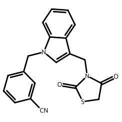 N#Cc1cccc(Cn2cc(CN3C(=O)CSC3=O)c3ccccc32)c1